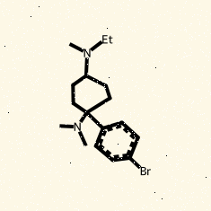 CCN(C)C1CCC(c2ccc(Br)cc2)(N(C)C)CC1